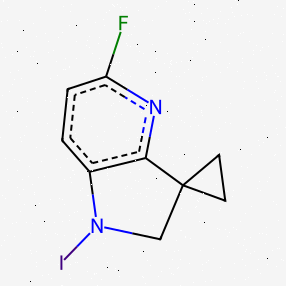 Fc1ccc2c(n1)C1(CC1)CN2I